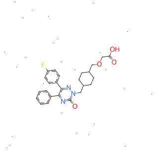 O=C(O)COCC1CCC(Cn2nc(-c3ccc(F)cc3)c(-c3ccccc3)nc2=O)CC1